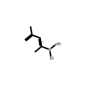 C=C(C)/C=C(\C)N(CC)CCC